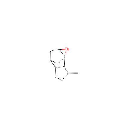 CC1CCC2C3CC4OC4(C3)C12